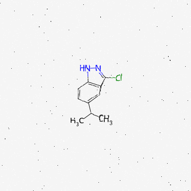 CC(C)c1ccc2[nH]nc(Cl)c2c1